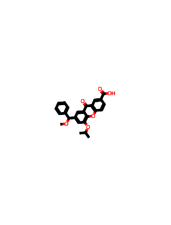 COC(c1ccccc1)c1cc(OC(C)C)c2oc3ccc(C(=O)O)cc3c(=O)c2c1